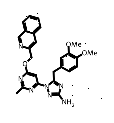 COc1ccc(Cc2nc(N)nn2-c2cc(OCc3cc4ccccc4cn3)nc(C)n2)cc1OC